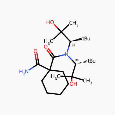 CC(C)(C)[C@@H](N(C(=O)C1(C(N)=O)CCCCC1)[C@H](C(C)(C)C)C(C)(C)O)C(C)(C)O